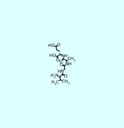 CC(C)[C@H](N)C(=O)NCC(=O)N[C@@H](C)C(=O)N[C@@H](CCC(=O)O)C(=O)O